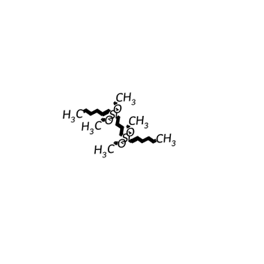 CCCCC=C[Si](CCCC[Si](C=CCCCC)(OCC)OCC)(OCC)OCC